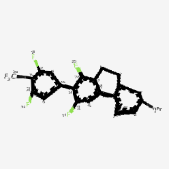 CCCc1ccc2c(c1)CCc1c-2cc(F)c(-c2cc(F)c(C(F)(F)F)c(F)c2)c1F